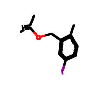 Cc1ccc(I)cc1CO[SiH](C)C